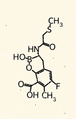 CSCC(=O)N[C@H]1Cc2cc(F)c(C)c(C(=O)O)c2OB1O